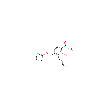 CCCc1c(COc2cc[c]cc2)ccc(C(C)=O)c1O